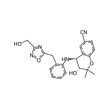 CC1(C)Oc2ccc(C#N)cc2[C@H](Nc2ccccc2Cc2nc(CO)no2)[C@H]1O